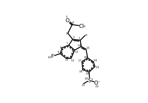 CC1=C(CC(=O)Cl)c2cc(F)ccc2/C1=C\c1ccc([S+](C)[O-])cc1